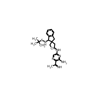 CCC1(CCNc2cnc(C(C)=N)c(N)n2)Cc2ccccc2C1NSC(C)(C)C